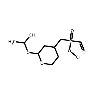 COP(=O)(C=O)CC1CCOC(OC(C)C)C1